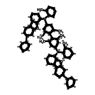 Cc1ccccc1N(c1cc(C)c(-c2c(C)cc(N(c3ccccc3C)c3cccc4c3oc3cc(-c5ccccc5)ccc34)cc2C)c(C)c1)c1cccc2c1oc1cc(-c3ccccc3)ccc12